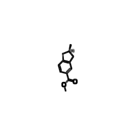 COC(=O)c1ccc2c(c1)C[C@H](C)C2